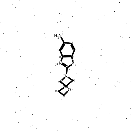 Nc1ccc2sc(N3CC4(CCO4)C3)nc2c1